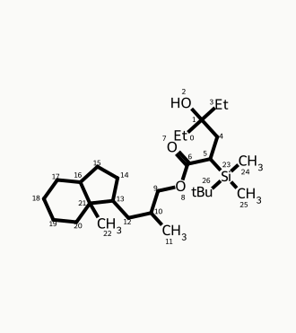 CCC(O)(CC)CC(C(=O)OCC(C)CC1CCC2CCCCC21C)[Si](C)(C)C(C)(C)C